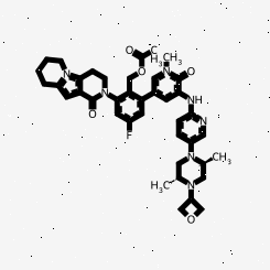 CC(=O)OCc1c(-c2cc(Nc3ccc(N4C[C@@H](C)N(C5COC5)C[C@@H]4C)cn3)c(=O)n(C)c2)cc(F)cc1N1CCc2c(cc3n2CCCC3)C1=O